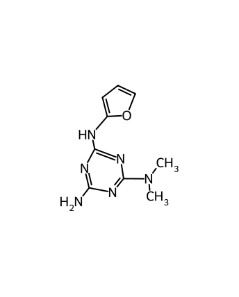 CN(C)c1nc(N)nc(Nc2ccco2)n1